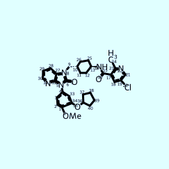 COc1ccc(-n2c(=O)n(C[C@H]3CC[C@H](NC(=O)c4cc(Cl)cnc4C)CC3)c3cccnc32)cc1OC1CCCC1